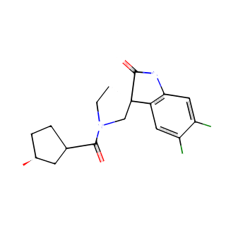 O=C(C1C[C@@H](O)[C@H](O)C1)N1CC[C@]2(C1)C(=O)Nc1cc(Cl)c(Cl)cc12